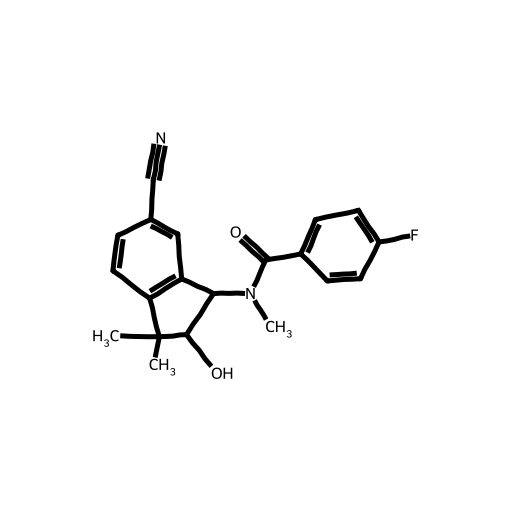 CN(C(=O)c1ccc(F)cc1)C1c2cc(C#N)ccc2C(C)(C)C1O